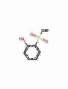 O=CS(=O)(=O)c1ccccc1O